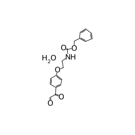 O.O=CC(=O)c1ccc(OCCNC(=O)OCc2ccccc2)cc1